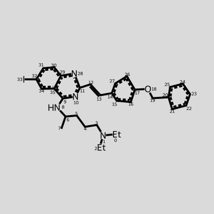 CCN(CC)CCCC(C)Nc1nc(C=Cc2ccc(OCc3ccccc3)cc2)nc2ccc(I)cc12